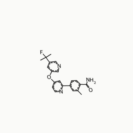 Cc1cc(-c2cc(Oc3cncc(C(C)(C)F)c3)ccn2)ccc1C(N)=O